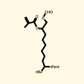 C=C(C)C(=O)OC(CCCCCCC(CCCC)CCCCC)COC=O